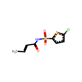 C/C=C/C(=O)NS(=O)(=O)c1ccc(Cl)s1